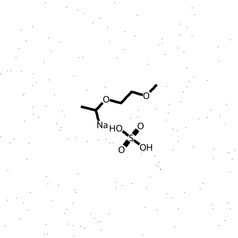 COCCO[CH](C)[Na].O=S(=O)(O)O